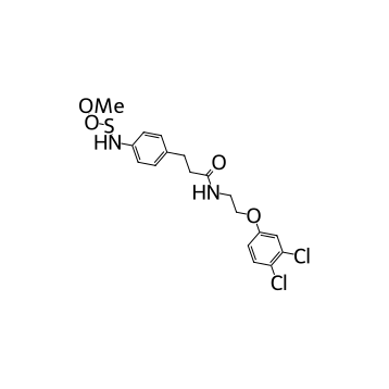 COOSNc1ccc(CCC(=O)NCCOc2ccc(Cl)c(Cl)c2)cc1